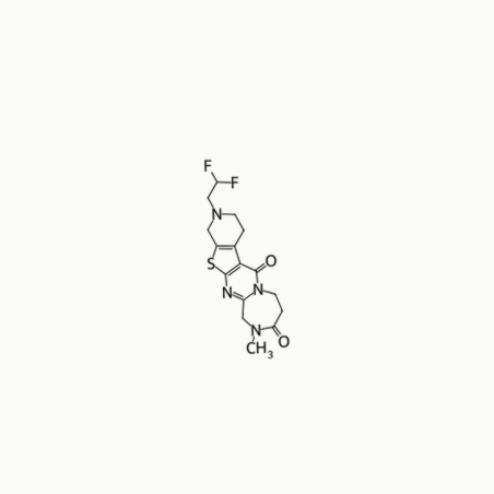 CN1Cc2nc3sc4c(c3c(=O)n2CCC1=O)CCN(CC(F)F)C4